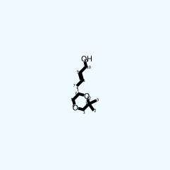 CC1(C)COC[C@H](C/C=C/CO)O1